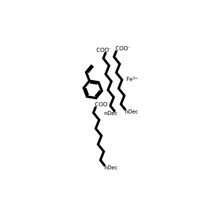 C=Cc1ccccc1.CCCCCCCCCCCCCCCCCC(=O)[O-].CCCCCCCCCCCCCCCCCC(=O)[O-].CCCCCCCCCCCCCCCCCC(=O)[O-].[Fe+3]